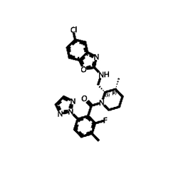 Cc1ccc(-n2nccn2)c(C(=O)N2CCC[C@@H](C)[C@H]2CNc2nc3cc(Cl)ccc3o2)c1F